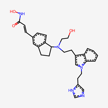 O=C(C=Cc1ccc2c(c1)CCC2N(CCO)CCc1cn(CCc2cnc[nH]2)c2ccccc12)NO